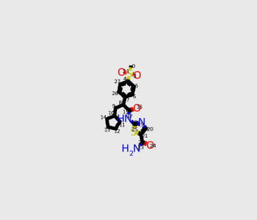 CS(=O)(=O)c1ccc(C(CC2CCCC2)C(=O)Nc2ncc(C(N)=O)s2)cc1